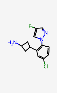 NC1CC(c2cc(Cl)ccc2-n2cc(F)cn2)C1